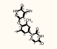 Cc1cc(-n2ncc(=O)[nH]c2=O)cc(I)c1Oc1cc(C(C)C)c(=O)[nH]n1